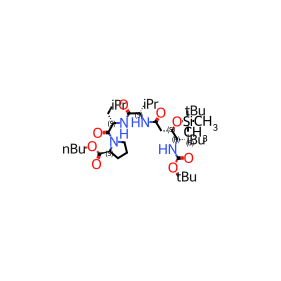 CCCCOC(=O)[C@@H]1CCCN1C(=O)[C@H](CC(C)C)NC(=O)[C@@H](NC(=O)C[C@H](O[Si](C)(C)C(C)(C)C)[C@H](NC(=O)OC(C)(C)C)[C@@H](C)CC)C(C)C